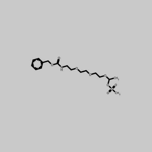 CC(OCCOCCOCCNC(=O)OCc1ccccc1)OS(C)(=O)=O